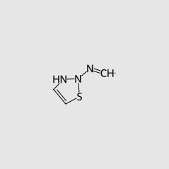 [CH]=NN1NC=CS1